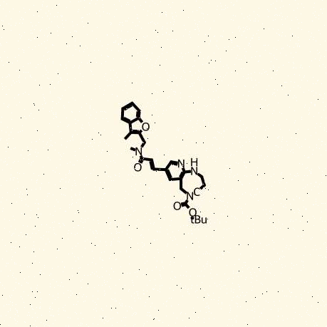 Cc1c(CN(C)C(=O)C=Cc2cnc3c(c2)CN(C(=O)OC(C)(C)C)CCCN3)oc2ccccc12